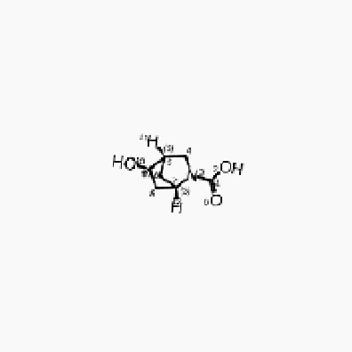 O=C(O)N1C[C@@H]2C[C@H]1C[C@H]2O